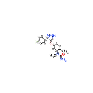 Cc1ccc(Oc2c[nH]nc2-c2ccc(F)cc2)cc1N(C)C(N)=O